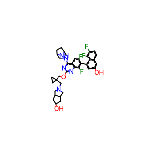 Oc1cc(-c2c(F)cc3c(N4CC5CCC(C4)N5)nc(OCC4(CN5CC6CC(O)CC6C5)CC4)nc3c2F)c2c(F)c(F)ccc2c1